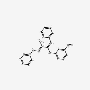 COc1cccc(OC(=Nc2ccccc2)C(C)=COc2ccccc2)c1